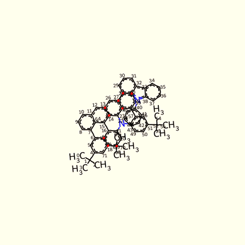 CC(C)(C)c1cc(-c2cccc3cccc(-c4ccccc4N(c4cccc(-c5cccc6c7ccccc7n(-c7ccccc7)c56)c4)c4ccc(C(C)(C)C)cc4-c4ccccc4)c23)cc(C(C)(C)C)c1